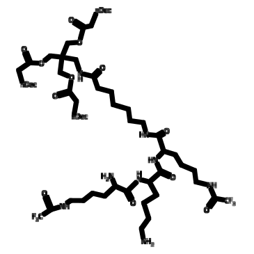 CCCCCCCCCCCC(=O)OCC(CNC(=O)CCCCCCNC(=O)C(CCCCNC(=O)C(F)(F)F)NC(=O)C(CCCCN)NC(=O)C(N)CCCCNC(=O)C(F)(F)F)(COC(=O)CCCCCCCCCCC)COC(=O)CCCCCCCCCCC